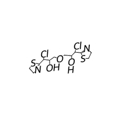 OC(COCC(O)C(Cl)C1=NCCS1)C(Cl)C1=NCCS1